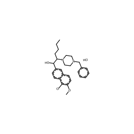 CCCCC(C(O)c1ccc2c(Cl)c(OC)ccc2c1)N1CCN(Cc2ccccc2)CC1.Cl